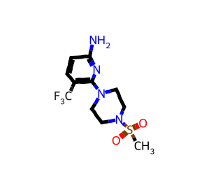 CS(=O)(=O)N1CCN(c2nc(N)ccc2C(F)(F)F)CC1